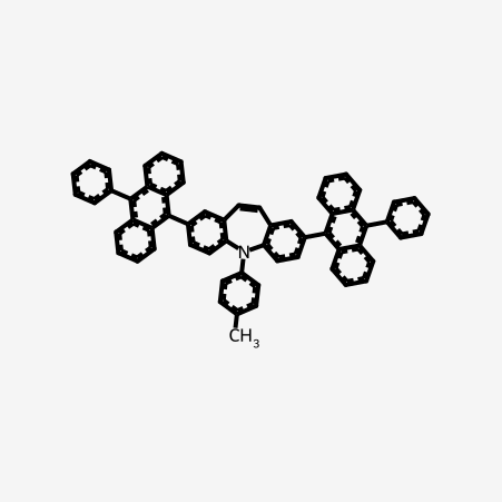 Cc1ccc(N2c3ccc(-c4c5ccccc5c(-c5ccccc5)c5ccccc45)cc3C=Cc3cc(-c4c5ccccc5c(-c5ccccc5)c5ccccc45)ccc32)cc1